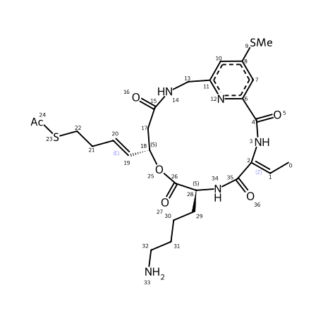 C/C=C1\NC(=O)c2cc(SC)cc(n2)CNC(=O)C[C@@H](/C=C/CCSC(C)=O)OC(=O)[C@H](CCCCN)NC1=O